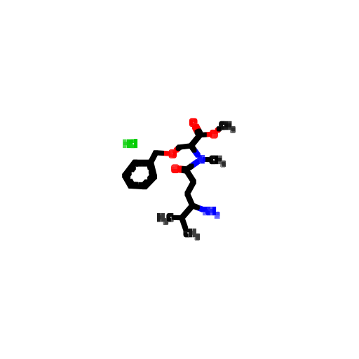 COC(=O)C(COCc1ccccc1)N(C)C(=O)CCC(N)C(C)C.Cl